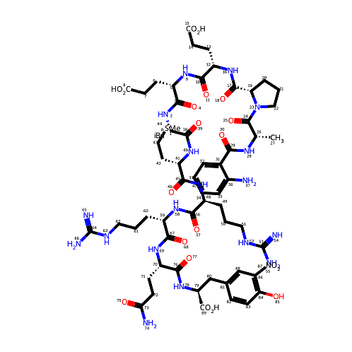 CC[C@H](C)[C@H](NC(=O)[C@H](CCC(=O)O)NC(=O)[C@H](CCC(=O)O)NC(=O)[C@@H]1CCCN1C(=O)[C@H](C)NC(=O)c1ccccc1N)C(=O)N[C@@H](CCSC)C(=O)N[C@@H](CCCNC(=N)N)C(=O)N[C@@H](CCCNC(=N)N)C(=O)N[C@@H](CCC(N)=O)C(=O)N[C@@H](Cc1ccc(O)c([N+](=O)[O-])c1)C(=O)O